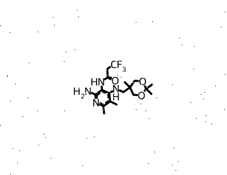 Cc1nc(N)c(NC(=O)CC(F)(F)F)c(NCC2(C)COC(C)(C)OC2)c1C